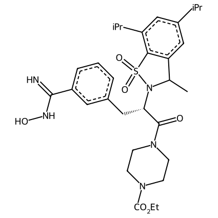 CCOC(=O)N1CCN(C(=O)[C@H](Cc2cccc(C(=N)NO)c2)N2C(C)c3cc(C(C)C)cc(C(C)C)c3S2(=O)=O)CC1